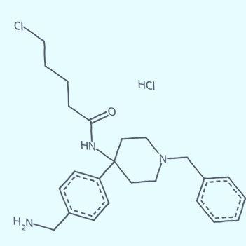 Cl.NCc1ccc(C2(NC(=O)CCCCCl)CCN(Cc3ccccc3)CC2)cc1